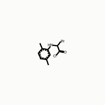 Cc1ccc(C)c(NC(C(=O)Cl)C(C)C)c1